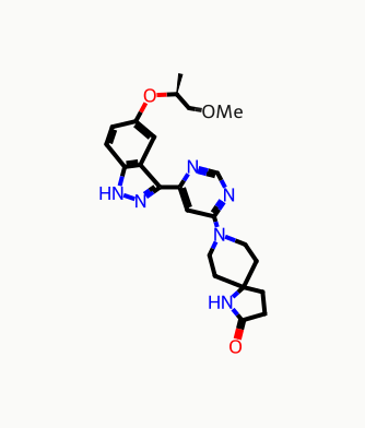 COC[C@H](C)Oc1ccc2[nH]nc(-c3cc(N4CCC5(CCC(=O)N5)CC4)ncn3)c2c1